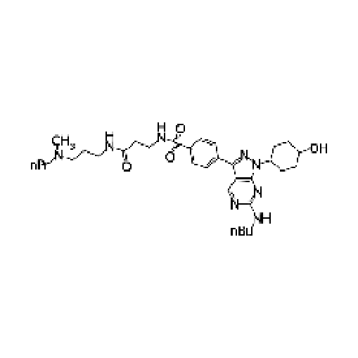 CCCCNc1ncc2c(-c3ccc(S(=O)(=O)NCCC(=O)NCCCN(C)CCC)cc3)nn(C3CCC(O)CC3)c2n1